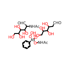 CC(=O)NC(C=O)C(O)C(O)C(O)CO.CC(=O)NO[As](=O)(OO)c1ccccc1.O=CCC(O)C(O)C(O)CO